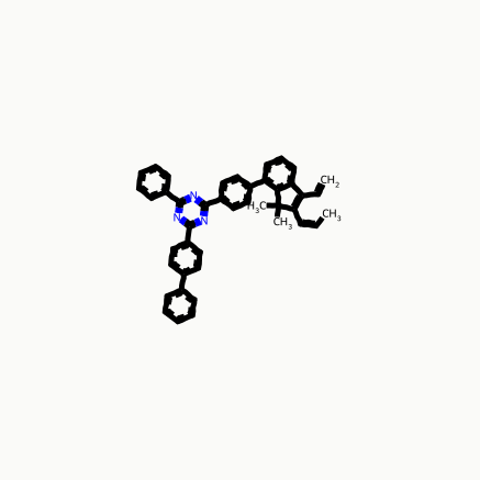 C=CC1=C(/C=C\C)C(C)(C)c2c1cccc2-c1ccc(-c2nc(-c3ccccc3)nc(-c3ccc(-c4ccccc4)cc3)n2)cc1